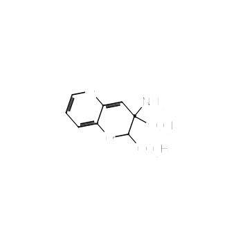 NC1(C(=O)O)C=C2OC=CC=C2OC1C(=O)O